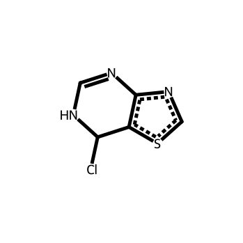 ClC1NC=Nc2ncsc21